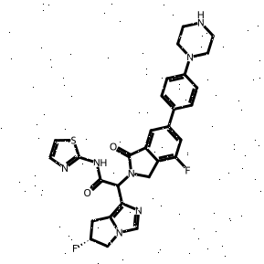 O=C(Nc1nccs1)C(c1ncn2c1C[C@@H](F)C2)N1Cc2c(F)cc(-c3ccc(N4CCNCC4)cc3)cc2C1=O